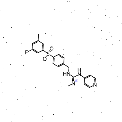 C/N=C(\NCc1ccc(S(=O)(=O)c2cc(C)cc(F)c2)cc1)Nc1ccncc1